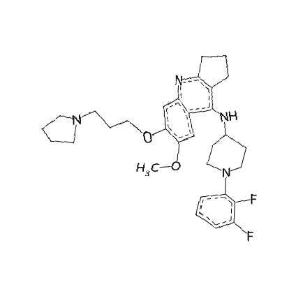 COc1cc2c(NC3CCN(c4cccc(F)c4F)CC3)c3c(nc2cc1OCCCN1CCCC1)CCC3